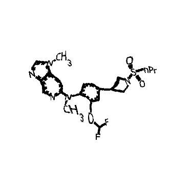 CCCS(=O)(=O)N1CC(c2ccc(N(C)c3cc4c(cn3)ncn4C)c(OC(F)F)c2)C1